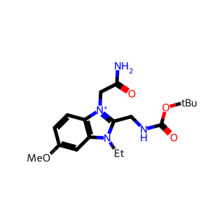 CCn1c(CNC(=O)OC(C)(C)C)[n+](CC(N)=O)c2ccc(OC)cc21